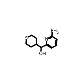 Bc1cccc(C(O)C2CCSCC2)n1